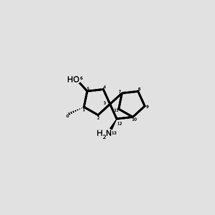 C[C@H]1CC2(CC1O)C1CCC(C1)[C@H]2N